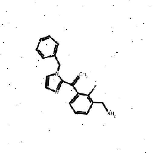 C=C(c1cccc(CN)c1F)c1nccn1Cc1ccccc1